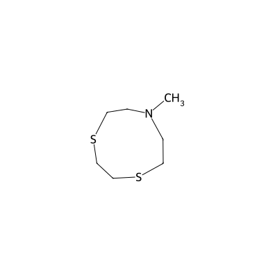 CN1CCSCCSCC1